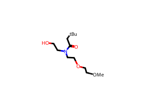 COCCOCCN(CCO)C(=O)CC(C)(C)C